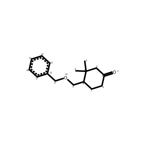 CC1(C)CC(=O)CCC1COCc1ccccc1